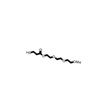 COCCOCCOCCOC(=O)CCS